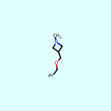 CC(C)COCC1CN(C)C1